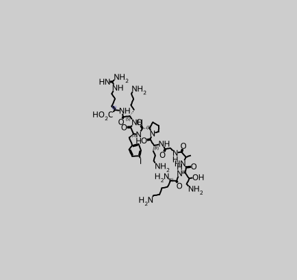 CC(NC(=O)[C@@H](NC(=O)[C@@H](N)CCCCN)C(O)CN)C(=O)NCC(=O)N[C@H](CCCN)C(=O)N1CCC[C@H]1C(=O)N[C@@H](Cc1ccc(I)cc1)C(=O)N[C@@H](CCCCN)C(=O)N/C(=C\CCNC(=N)N)C(=O)O